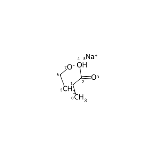 CCC(=O)O.CC[O-].[Na+]